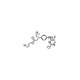 CCOC(=O)CC(C)c1ccc(Nc2nc(Cl)ncc2F)cc1